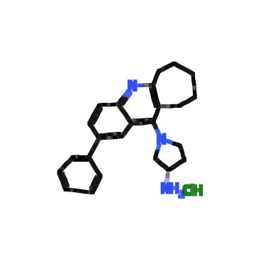 Cl.N[C@H]1CCN(c2c3c(nc4ccc(-c5ccccc5)cc24)CCCCC3)C1